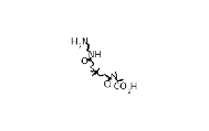 CC(C(=O)O)N(C)C(=O)CCC(C)(C)SCC(=O)NCCN